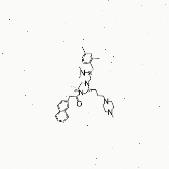 Cc1ccc(C[C@H](CN2C[C@@H](C)N(C(=O)Cc3ccc4ccccc4c3)C[C@@H]2CCCN2CCN(C)CC2)N(C)C)c(C)c1